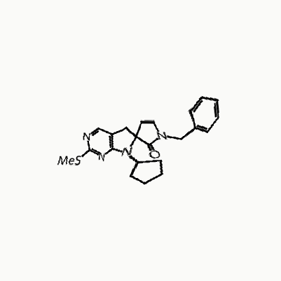 CSc1ncc2c(n1)N(C1CCCC1)C1(CCN(Cc3ccccc3)C1=O)C2